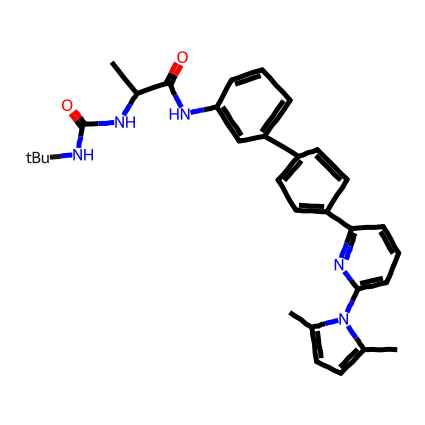 Cc1ccc(C)n1-c1cccc(-c2ccc(-c3cccc(NC(=O)C(C)NC(=O)NC(C)(C)C)c3)cc2)n1